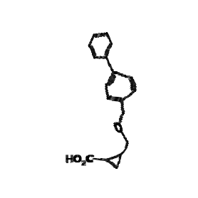 O=C(O)C1CC1COCc1ccc(-c2ccccc2)cc1